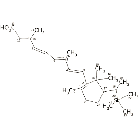 CC1=C(/C=C/C(C)=C/C=C/C(C)=C/C(=O)O)C(C)(C)C(C(C)[Si](C)(C)C)CC1